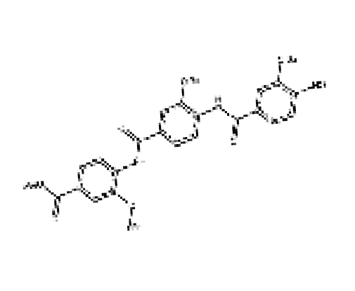 CCCOc1cc(C(=O)OC)ccc1NC(=O)c1ccc(NC(=O)c2ccc([N+](=O)[O-])c(OCC(C)C)c2)c(OCC(C)C)c1